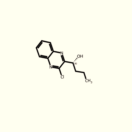 CCC[C@@H](O)c1nc2ccccc2nc1Cl